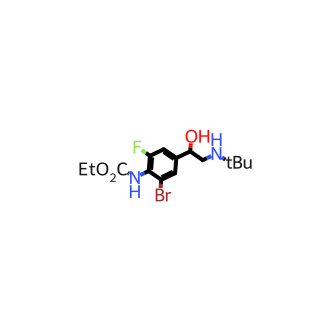 CCOC(=O)Nc1c(F)cc(C(O)CNC(C)(C)C)cc1Br